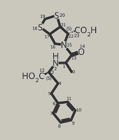 CC(N[C@@H](CCc1ccccc1)C(=O)O)C(=O)N1CC2SCSC2[C@@H]1C(=O)O